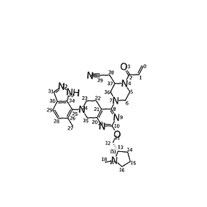 C=CC(=O)N1CCN(c2nc(OC[C@@H]3CCCN3C)nc3c2CCN(c2c(C)ccc4cn[nH]c24)C3)CC1CC#N